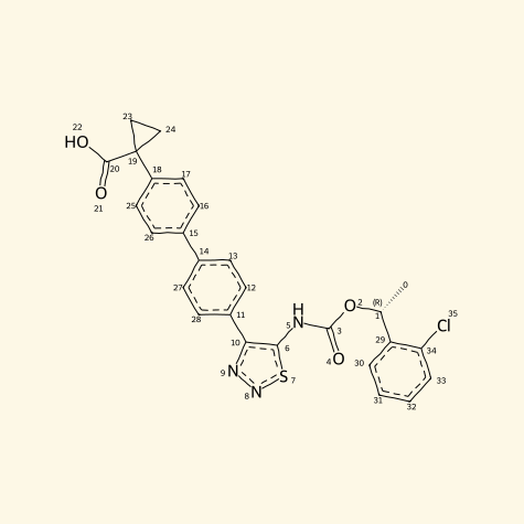 C[C@@H](OC(=O)Nc1snnc1-c1ccc(-c2ccc(C3(C(=O)O)CC3)cc2)cc1)c1ccccc1Cl